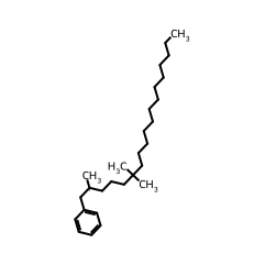 CCCCCCCCCCCCCC(C)(C)CCC[C](C)Cc1ccccc1